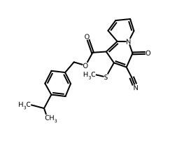 CSc1c(C#N)c(=O)n2ccccc2c1C(=O)OCc1ccc(C(C)C)cc1